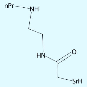 CCCNCCNC(=O)[CH2][SrH]